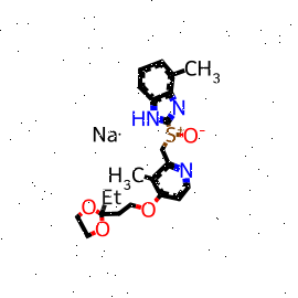 CCC1(CCOc2ccnc(C[S+]([O-])c3nc4c(C)cccc4[nH]3)c2C)OCCO1.[Na]